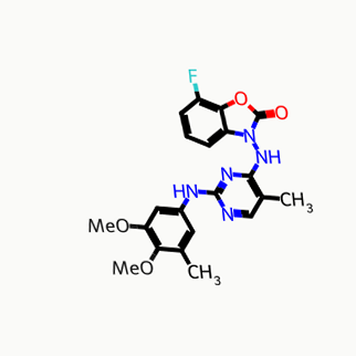 COc1cc(Nc2ncc(C)c(Nn3c(=O)oc4c(F)cccc43)n2)cc(C)c1OC